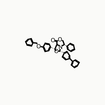 O=C1OC[C@H](c2ccccc2)N2C1[C@@H](c1ccc(OCc3ccccc3)cc1)O[C@H]2c1ccc(-c2ccccc2)cc1